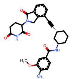 COc1cc(C(=O)N[C@@H]2CCC[C@@H](C#Cc3cccc4c3CN(C3CCC(=O)NC3=O)C4=O)C2)ccc1N